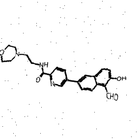 O=Cc1c(O)ccc2cc(-c3ccc(C(=O)NCCN4CCOCC4)nc3)ccc12